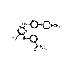 Cc1cnc(Nc2ccc(N3CCN(C)CC3)cc2)nc1Nc1cccc(C(=O)NC(C)C)c1